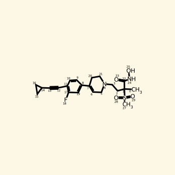 CC(CCN1CC=C(c2ccc(C#CC3CC3)c(F)c2)CC1)(C(=O)NO)S(C)(=O)=O